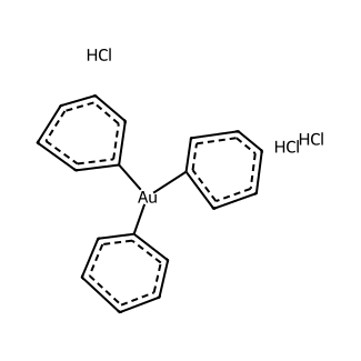 Cl.Cl.Cl.c1cc[c]([Au]([c]2ccccc2)[c]2ccccc2)cc1